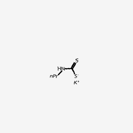 CCCNC(=S)[S-].[K+]